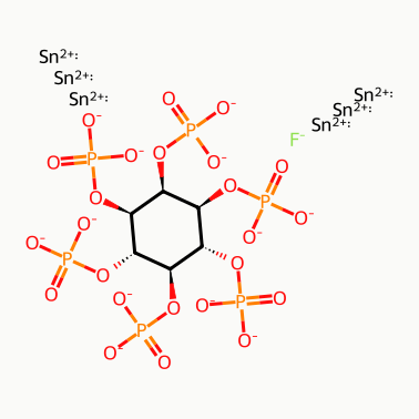 O=P([O-])([O-])O[C@H]1[C@H](OP(=O)([O-])[O-])[C@@H](OP(=O)([O-])[O-])[C@H](OP(=O)([O-])[O-])[C@@H](OP(=O)([O-])[O-])[C@H]1OP(=O)([O-])[O-].[F-].[Sn+2].[Sn+2].[Sn+2].[Sn+2].[Sn+2].[Sn+2]